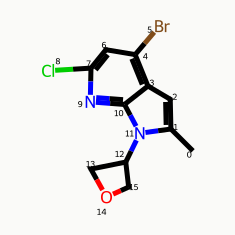 Cc1cc2c(Br)cc(Cl)nc2n1C1COC1